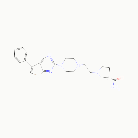 NC(=O)[C@@H]1CCN(CCN2CCN(c3ncc4c(-c5ccccc5)csc4n3)CC2)C1